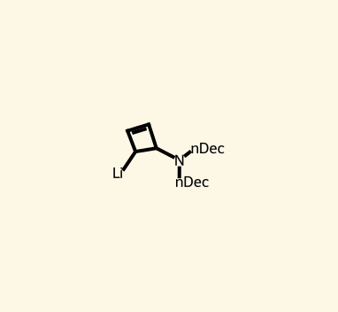 [Li][CH]1C=CC1N(CCCCCCCCCC)CCCCCCCCCC